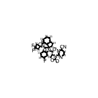 N#Cc1ccnc(N2C(=O)OC[C@H]2C(=O)N(c2cccc(F)c2)[C@]2(C(=O)NC3CC(F)(F)C3)CCc3cccc(Cl)c32)n1